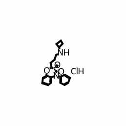 Cl.O=S1(=O)C(CCCNC2CCC2)Oc2ccccc2N1c1ccccc1